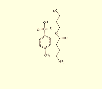 CCCCOC(=O)CCCN.Cc1ccc(S(=O)(=O)O)cc1